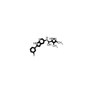 Cc1n[nH]c(C(O)Nc2cnc3[nH]c(-c4cccc(F)c4)cc3c2)c1C